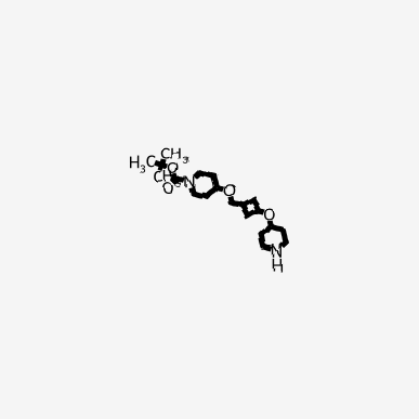 CC(C)(C)OC(=O)N1CCC(OCC2CC(OC3CCNCC3)C2)CC1